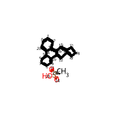 C1=CCc2c(c3ccccc3c3cc4c(cc23)C=CC=4)=C1.CS(=O)(=O)O